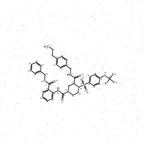 CCCc1ccc(CNC(=O)C2CN(C(=O)Nc3ccccc3C(=O)OCc3ccccc3)CCN2S(=O)(=O)c2ccc(OC(F)(F)F)cc2)cc1